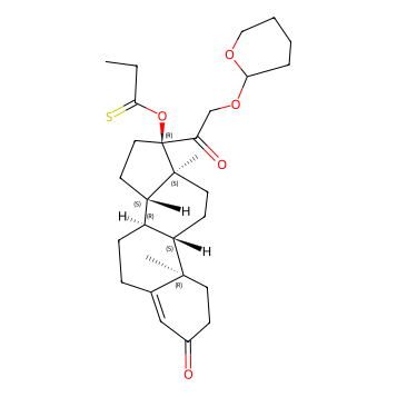 CCC(=S)O[C@]1(C(=O)COC2CCCCO2)CC[C@H]2[C@@H]3CCC4=CC(=O)CC[C@]4(C)[C@H]3CC[C@@]21C